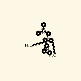 CCCCCCCCc1ccc2c(c1)c1c(-c3ccc4c(c3)c3cccc5c6ccccc6n4c53)c(CCCCCCCC)ccc1n2-c1cccc(-c2nc(-c3ccccc3)nc(-c3ccccc3)n2)c1